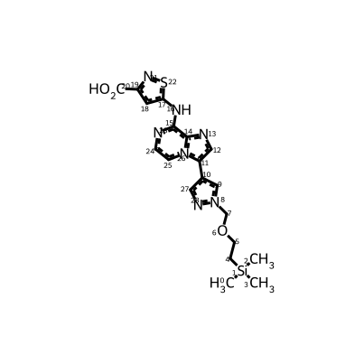 C[Si](C)(C)CCOCn1cc(-c2cnc3c(Nc4cc(C(=O)O)ns4)nccn23)cn1